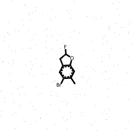 Cc1cc2c(cc1Br)CC(F)O2